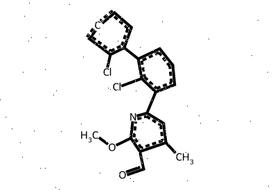 COc1nc(-c2cccc(-c3ccccc3Cl)c2Cl)cc(C)c1C=O